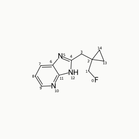 FCC1(Cc2nc3cccnc3[nH]2)CC1